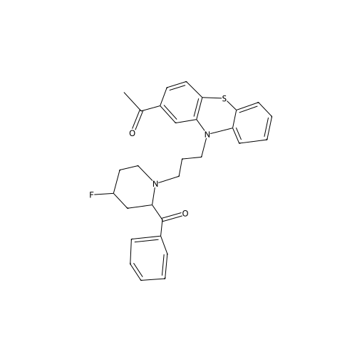 CC(=O)c1ccc2c(c1)N(CCCN1CCC(F)CC1C(=O)c1ccccc1)c1ccccc1S2